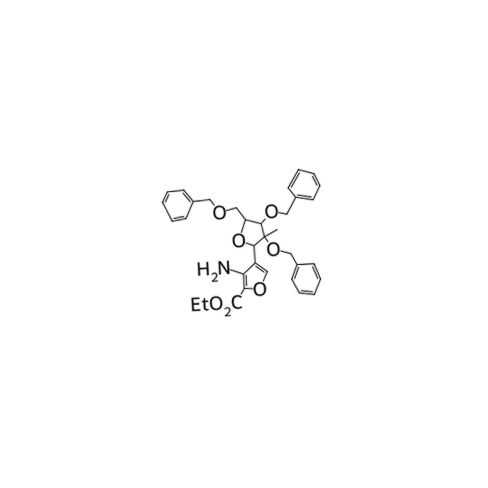 CCOC(=O)c1occ(C2OC(COCc3ccccc3)C(OCc3ccccc3)C2(C)OCc2ccccc2)c1N